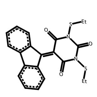 CCSN1C(=O)C(=C2c3ccccc3-c3ccccc32)C(=O)N(SCC)C1=O